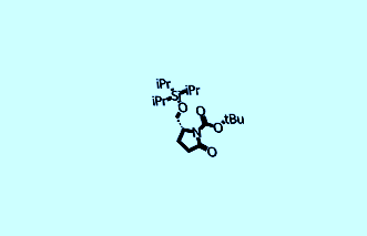 CC(C)[Si](OC[C@H]1CCC(=O)N1C(=O)OC(C)(C)C)(C(C)C)C(C)C